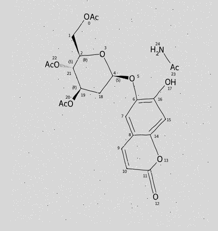 CC(=O)OC[C@H]1O[C@@H](Oc2cc3ccc(=O)oc3cc2O)C[C@@H](OC(C)=O)[C@@H]1OC(C)=O.CC(N)=O